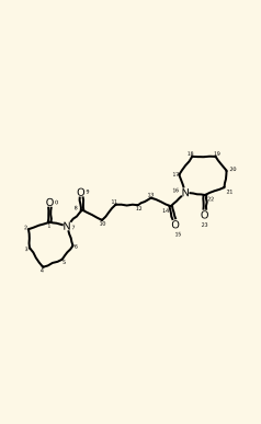 O=C1CCCCCN1C(=O)CCCCC(=O)N1CCCCCC1=O